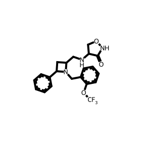 O=C1NOCC1NCC1CC(c2ccccc2)N1Cc1ccccc1OC(F)(F)F